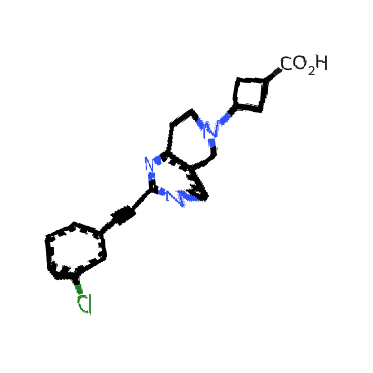 O=C(O)C1CC(N2CCc3nc(C#Cc4cccc(Cl)c4)ncc3C2)C1